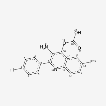 Nc1c(-c2ccc(I)cc2)nc2ccc(F)cc2c1OC(=O)O